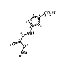 CCOC(=O)c1cnc(NOC(=O)OC(C)(C)C)s1